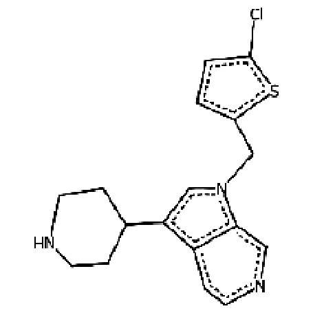 Clc1ccc(Cn2cc(C3CCNCC3)c3ccncc32)s1